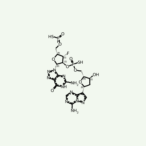 Nc1nc2c(nnn2[C@@H]2O[C@H](CO[PH](=O)S)[C@H](F)[C@H]2OP(=O)(S)OC[C@H]2O[C@@H](c3cnn4c(N)ncnc34)C[C@@H]2O)c(=O)[nH]1